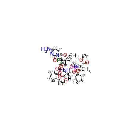 CC(C)OC(=O)[C@H](C)NP(=O)(OC[C@H]1C2(C)O[C@@H](n3ccc(N)nc3=O)C(F)(F)C12COP(=O)(N[C@@H](C)C(=O)OC(C)C)Oc1ccccc1)Oc1ccccc1